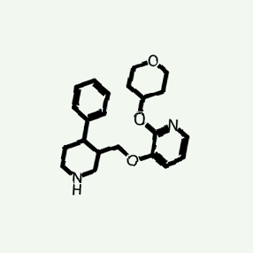 c1ccc(C2CCNCC2COc2cccnc2OC2CCOCC2)cc1